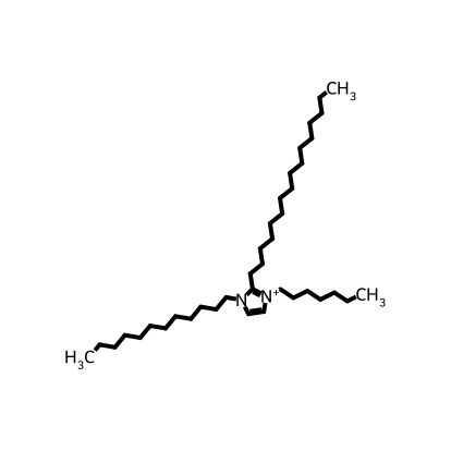 CCCCCCCCCCCCCCCCc1n(CCCCCCCCCCCC)cc[n+]1CCCCCCC